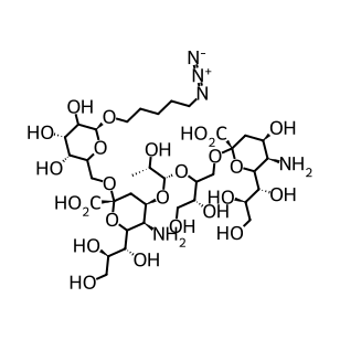 C[C@H](O)[C@H](OC(CO[C@]1(C(=O)O)C[C@@H](O)[C@@H](N)C([C@H](O)[C@H](O)CO)O1)[C@H](O)CO)O[C@@H]1C[C@](OCC2O[C@H](OCCCCCN=[N+]=[N-])C(O)[C@@H](O)[C@H]2O)(C(=O)O)OC([C@H](O)[C@H](O)CO)[C@@H]1N